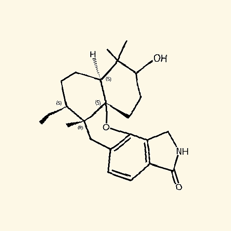 C[C@H]1CC[C@H]2C(C)(C)C(O)CC[C@]23Oc2c(ccc4c2CNC4=O)C[C@]13C